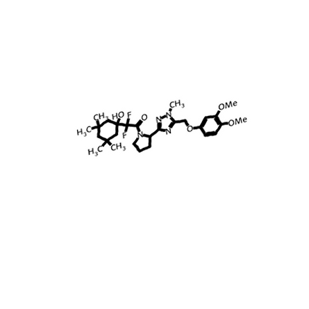 COc1ccc(OCc2nc(C3CCCN3C(=O)C(F)(F)C3(O)CC(C)(C)CC(C)(C)C3)nn2C)cc1OC